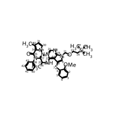 COc1ccccc1Sc1cn(COCC[Si](C)(C)C)c2ncnc(NC(C)c3nn4ccc(C)c4c(=O)n3-c3ccccc3)c12